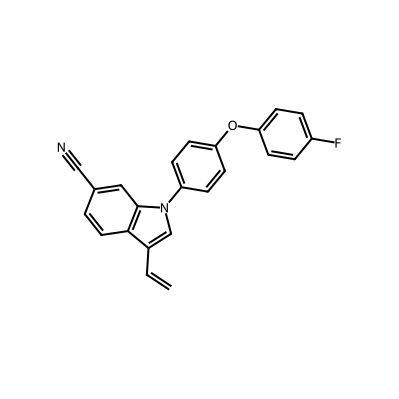 C=Cc1cn(-c2ccc(Oc3ccc(F)cc3)cc2)c2cc(C#N)ccc12